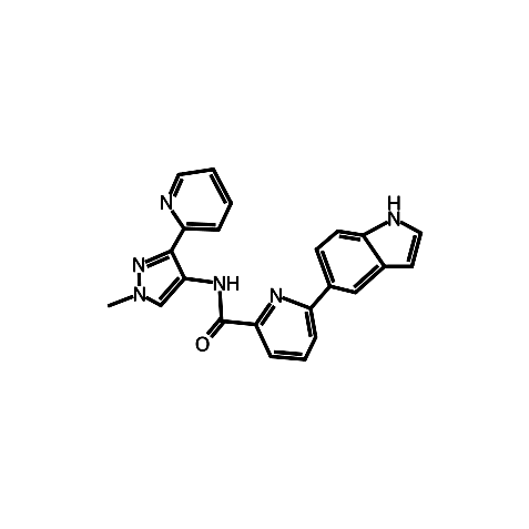 Cn1cc(NC(=O)c2cccc(-c3ccc4[nH]ccc4c3)n2)c(-c2ccccn2)n1